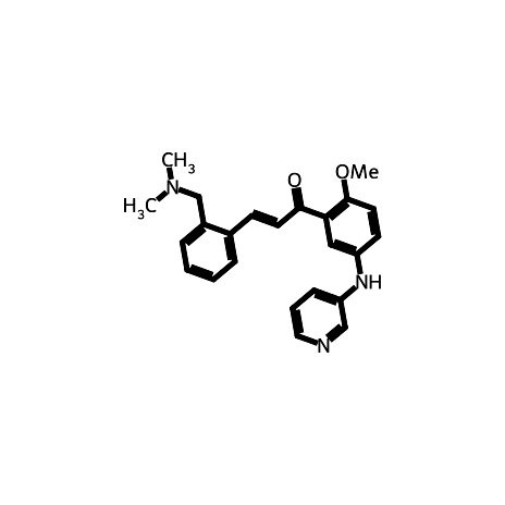 COc1ccc(Nc2cccnc2)cc1C(=O)C=Cc1ccccc1CN(C)C